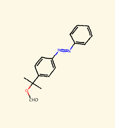 CC(C)(O[C]=O)c1ccc(/N=N/c2ccccc2)cc1